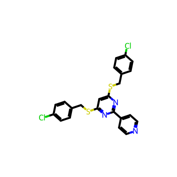 Clc1ccc(CSc2cc(SCc3ccc(Cl)cc3)nc(-c3ccncc3)n2)cc1